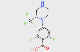 O=C(O)c1c(F)cc(N2CCNCC2C(F)(F)F)cc1F